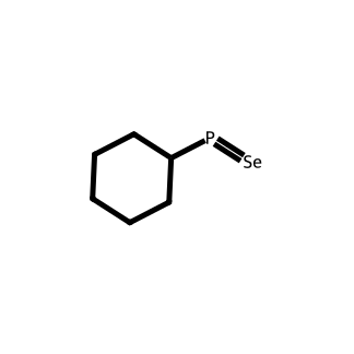 [Se]=PC1CCCCC1